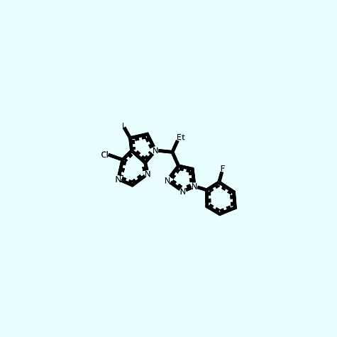 CCC(c1cn(-c2ccccc2F)nn1)n1cc(I)c2c(Cl)ncnc21